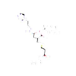 CCCCCCCCC(CCCCCCCC)OC(=O)C(CSCCC(=O)OCCCCCC)CC(=O)NCCCn1ccnc1